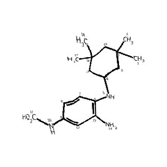 CC1(C)CC(Nc2ccc(NC(=O)O)cc2N)CC(C)(C)C1